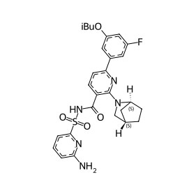 CC(C)COc1cc(F)cc(-c2ccc(C(=O)NS(=O)(=O)c3cccc(N)n3)c(N3C[C@H]4CC[C@H]3C4)n2)c1